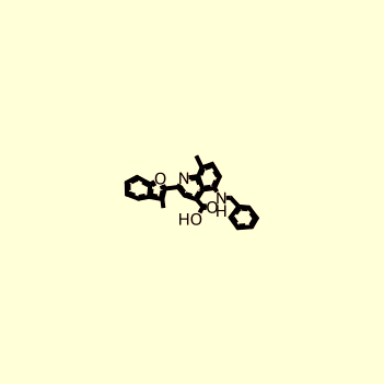 Cc1c(-c2cc(C(=O)O)c3c(NCc4ccccc4)ccc(C)c3n2)oc2ccccc12